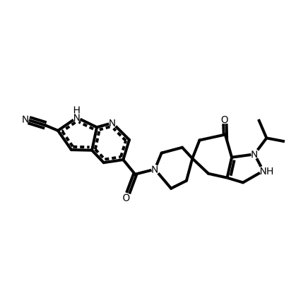 CC(C)N1NCC2=C1C(=O)CC1(CCN(C(=O)c3cnc4[nH]c(C#N)cc4c3)CC1)C2